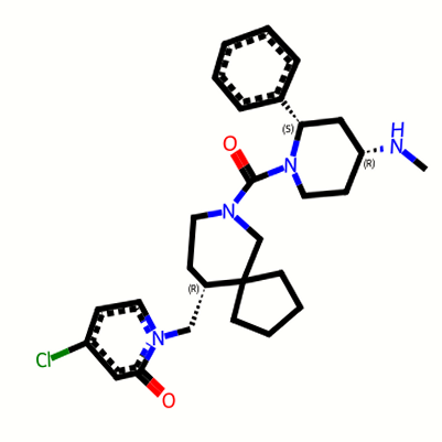 CN[C@@H]1CCN(C(=O)N2CC[C@@H](Cn3ccc(Cl)cc3=O)C3(CCCC3)C2)[C@H](c2ccccc2)C1